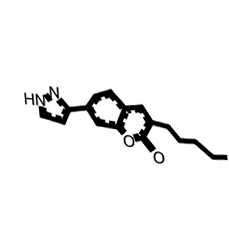 CCCCCc1cc2ccc(-c3cc[nH]n3)cc2oc1=O